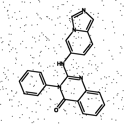 O=c1c2ccccc2nc(Nc2ccc3cncn3c2)n1-c1ccccc1